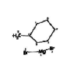 [Br][Mg][Br].[CH2]C1CCCCC1